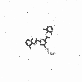 CC(=Nc1c(C)cccc1C)c1cc(C)cc(C(C)=Nc2c(C)cccc2C)n1.[Cl-].[Cl-].[Cl-].[Nd+3]